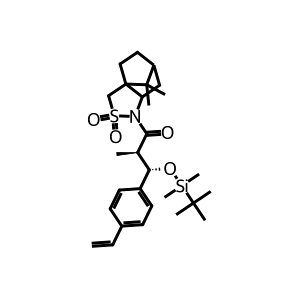 C=Cc1ccc([C@@H](O[Si](C)(C)C(C)(C)C)[C@@H](C)C(=O)N2C3CC4CCC3(CS2(=O)=O)C4(C)C)cc1